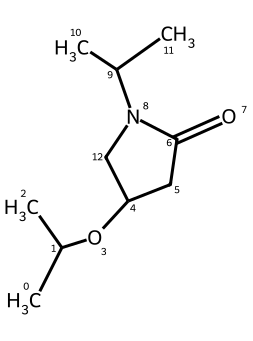 CC(C)OC1CC(=O)N(C(C)C)C1